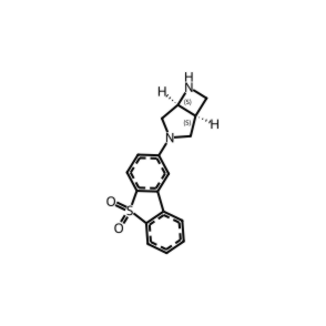 O=S1(=O)c2ccccc2-c2cc(N3C[C@@H]4CN[C@@H]4C3)ccc21